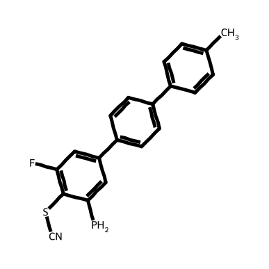 Cc1ccc(-c2ccc(-c3cc(F)c(SC#N)c(P)c3)cc2)cc1